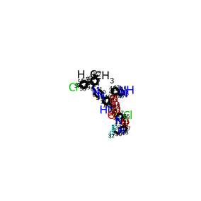 CC1(C)CCC(CN2CCN(c3ccc(C(=O)NS(=O)(=O)c4cnc(OC5CCN(CC(F)F)C5)c(Cl)c4)c(Oc4cccc5[nH]ncc45)c3)CC2)=C(c2ccc(Cl)cc2)C1